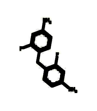 Nc1ccc(Cc2ccc(N)cc2F)c(F)c1